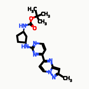 Cc1cc2nc(-c3ccnc(N[C@H]4CC[C@H](NC(=O)OC(C)(C)C)C4)n3)ccn2n1